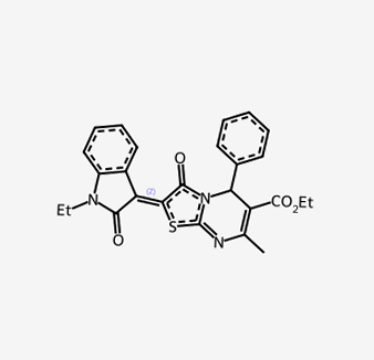 CCOC(=O)C1=C(C)N=c2s/c(=C3\C(=O)N(CC)c4ccccc43)c(=O)n2C1c1ccccc1